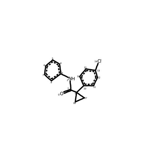 O=C(Nc1ccccc1)C1(c2ccc(Cl)cc2)CC1